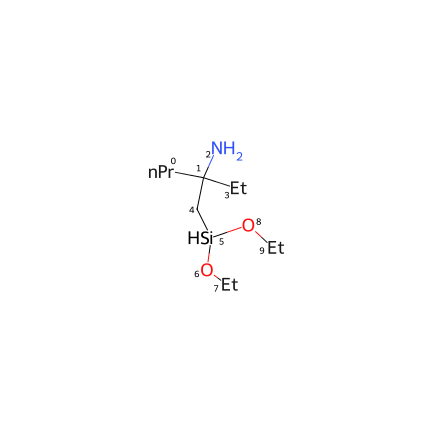 CCCC(N)(CC)C[SiH](OCC)OCC